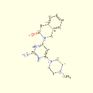 CN1CCN(c2cc(N3Cc4ccccc4CC3=O)nc(N)n2)CC1